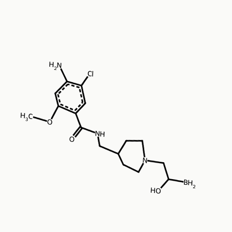 BC(O)CN1CCC(CNC(=O)c2cc(Cl)c(N)cc2OC)CC1